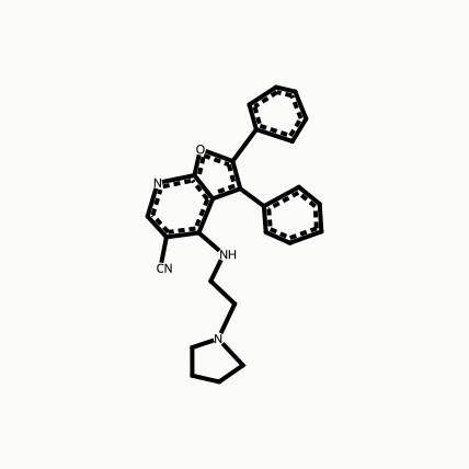 N#Cc1cnc2oc(-c3ccccc3)c(-c3ccccc3)c2c1NCCN1CCCC1